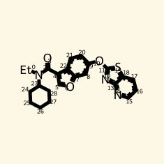 CCN(C(=O)c1coc2cc(Oc3nc4ncccc4s3)ccc12)C1CCCCC1